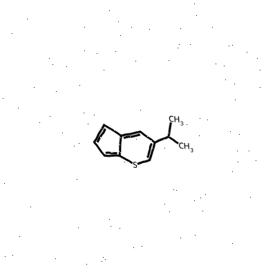 CC(C)c1csc2cccc-2c1